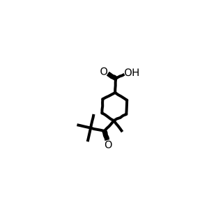 CC(C)(C)C(=O)C1(C)CCC(C(=O)O)CC1